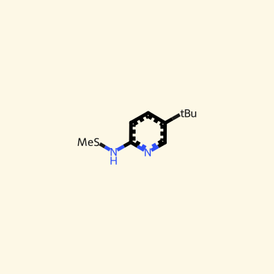 CSNc1ccc(C(C)(C)C)cn1